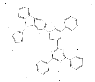 c1ccc(-c2nc(-c3ccccc3)nc(-c3cc(-c4ccccc4)c4oc5cc6c7ccccc7n(-c7ccccc7)c6cc5c4c3)n2)cc1